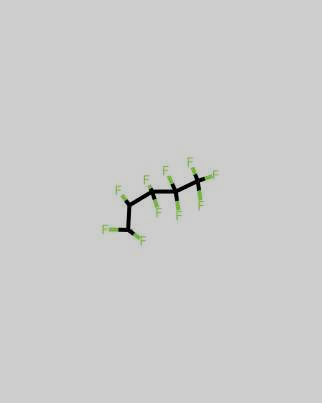 F[C](F)C(F)C(F)(F)C(F)(F)C(F)(F)F